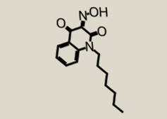 CCCCCCCN1C(=O)C(=NO)C(=O)c2ccccc21